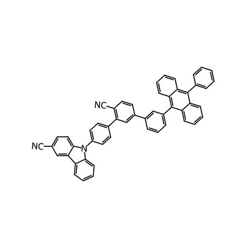 N#Cc1ccc2c(c1)c1ccccc1n2-c1ccc(-c2cc(-c3cccc(-c4c5ccccc5c(-c5ccccc5)c5ccccc45)c3)ccc2C#N)cc1